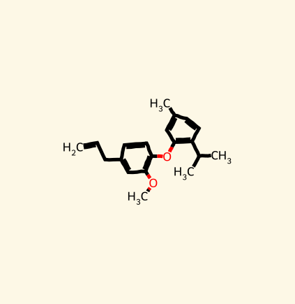 C=CCc1ccc(Oc2cc(C)ccc2C(C)C)c(OC)c1